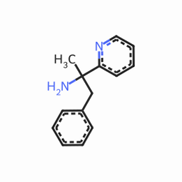 CC(N)(Cc1ccccc1)c1ccccn1